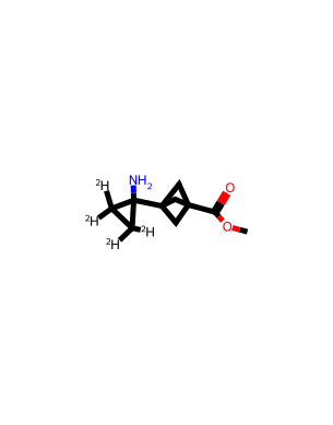 [2H]C1([2H])C([2H])([2H])C1(N)C12CC(C(=O)OC)(C1)C2